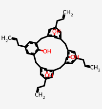 C=CCc1cc2c(O)c(c1)Cc1cc(CC=C)cc(c1O)Cc1cc(CC=C)cc(c1O)Cc1cc(CC=C)cc(c1O)C2